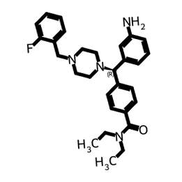 CCN(CC)C(=O)c1ccc([C@H](c2cccc(N)c2)N2CCN(Cc3ccccc3F)CC2)cc1